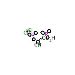 N#Cc1ccc(C=CC(=O)O)cc1F.[Cl][Pd][Cl].c1ccc(P(c2ccccc2)c2ccccc2)cc1.c1ccc(P(c2ccccc2)c2ccccc2)cc1